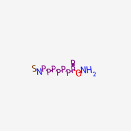 NOP(#P)P=PP=PP=PN=S